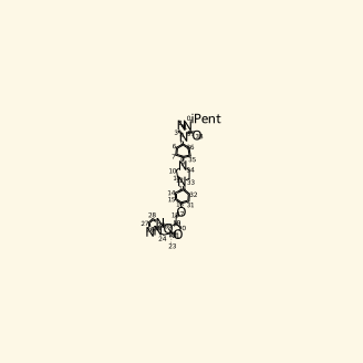 CCCC(C)n1ncn(-c2ccc(N3CCN(c4ccc(OC[C@H]5CO[C@@](C)(Cn6nccn6)O5)cc4)CC3)cc2)c1=O